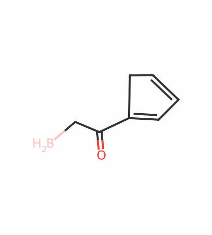 BCC(=O)C1=CC=CC1